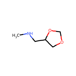 CNCC1COCO1